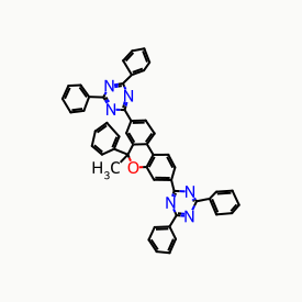 CC1(c2ccccc2)Oc2cc(-c3nc(-c4ccccc4)nc(-c4ccccc4)n3)ccc2-c2ccc(-c3nc(-c4ccccc4)nc(-c4ccccc4)n3)cc21